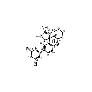 CN1C(=O)C2(N=C1N)c1cc(-c3cc(F)cc(Cl)c3)ccc1OC1CCCC[C@@H]12